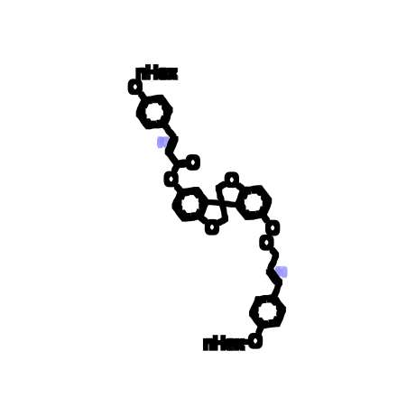 CCCCCCOc1ccc(/C=C/COOc2ccc3c(c2)C2(CO3)COc3ccc(OC(=O)/C=C/c4ccc(OCCCCCC)cc4)cc32)cc1